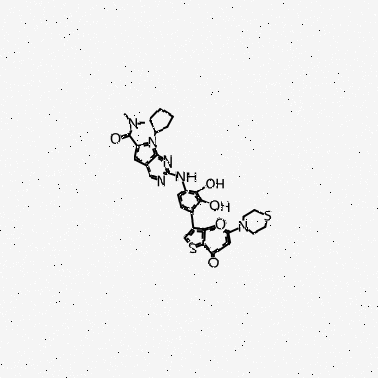 CN(C)C(=O)c1cc2cnc(Nc3ccc(-c4csc5c(=O)cc(N6CCSCC6)oc45)c(O)c3O)nc2n1C1CCCC1